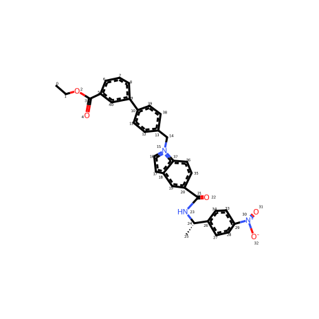 CCOC(=O)c1cccc(-c2ccc(Cn3ccc4cc(C(=O)N[C@@H](C)c5ccc([N+](=O)[O-])cc5)ccc43)cc2)c1